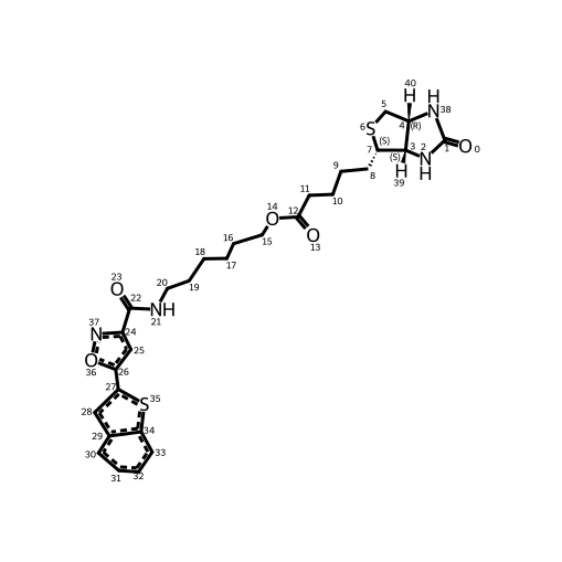 O=C1N[C@H]2[C@H](CS[C@H]2CCCCC(=O)OCCCCCCNC(=O)c2cc(-c3cc4ccccc4s3)on2)N1